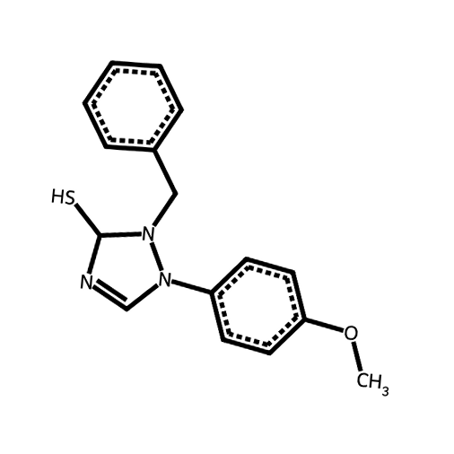 COc1ccc(N2C=NC(S)N2Cc2ccccc2)cc1